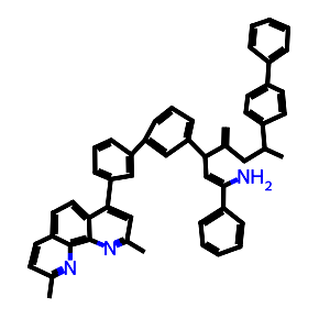 C=C(CC(C)c1ccc(-c2ccccc2)cc1)C(/C=C(\N)c1ccccc1)c1cccc(-c2cccc(-c3cc(C)nc4c3ccc3ccc(C)nc34)c2)c1